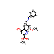 COC(=O)c1cc(O)c2cc(CNCc3ccccc3)cc(OC)c2n1